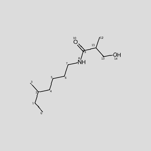 CCC(C)CCCCNC(=O)C(C)CO